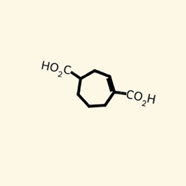 O=C(O)C1=CCC(C(=O)O)CCC1